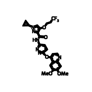 COc1cc2nccc(Oc3ccc(NC(=O)c4nn(C5CC5)cc4OCCC(F)(F)F)nn3)c2cc1OC